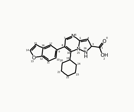 O=C(O)C1C=C2N=CC(c3ccc4occc4c3)=C(C3CCCCC3)N2N1